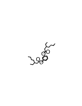 CCCCC(CC)CC(=O)Oc1cccc(OC(=O)CC(CC)CCCC)c1